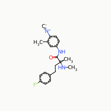 [C-]#[N+]c1ccc(NC(=O)[C@@](C)(CCc2ccc(F)cc2)NC)cc1C